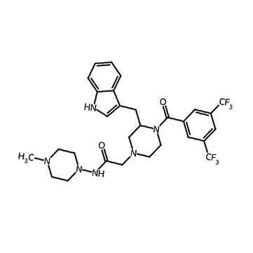 CN1CCN(NC(=O)CN2CCN(C(=O)c3cc(C(F)(F)F)cc(C(F)(F)F)c3)C(Cc3c[nH]c4ccccc34)C2)CC1